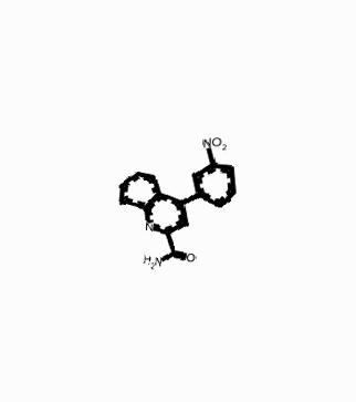 NC(=O)c1cc(-c2cccc([N+](=O)[O-])c2)c2ccccc2n1